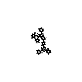 c1ccc(-c2cc(-c3ccc(-c4ccc5nc(-c6ccccc6)c6sc(-c7ccccc7)c(-c7ccccc7)c6c5c4)cc3)nc(-c3ccccc3)n2)cc1